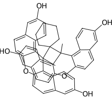 CC1(C2(C3(C)c4c(ccc5cc(O)ccc45)Oc4ccc5cc(O)ccc5c43)CCCCC2)c2c(ccc3cc(O)ccc23)Oc2ccc3cc(O)ccc3c21